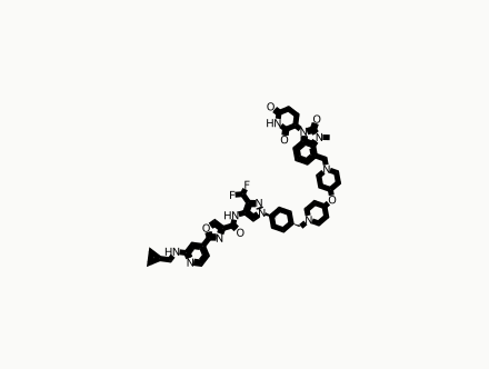 Cn1c(=O)n(C2CCC(=O)NC2=O)c2cccc(CN3CCC(OC4CCN(C[C@H]5CC[C@H](n6cc(NC(=O)c7coc(-c8ccnc(NCC9CC9)c8)n7)c(C(F)F)n6)CC5)CC4)CC3)c21